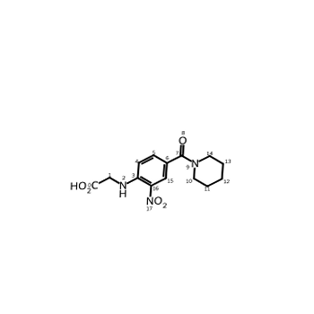 O=C(O)CNc1ccc(C(=O)N2CCCCC2)cc1[N+](=O)[O-]